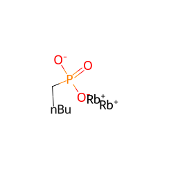 CCCCCP(=O)([O-])[O-].[Rb+].[Rb+]